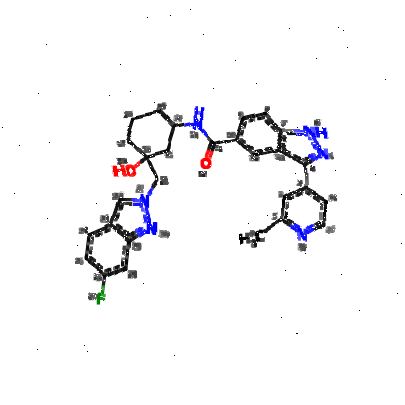 Cc1cc(-c2n[nH]c3ccc(C(=O)NC4CCCC(O)(Cn5cc6ccc(F)cc6n5)C4)cc23)ccn1